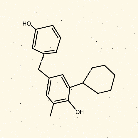 Cc1cc(Cc2cccc(O)c2)cc(C2CCCCC2)c1O